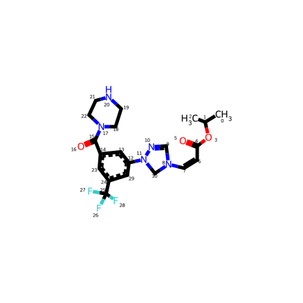 CC(C)OC(=O)/C=C\N1C=NN(c2cc(C(=O)N3CCNCC3)cc(C(F)(F)F)c2)C1